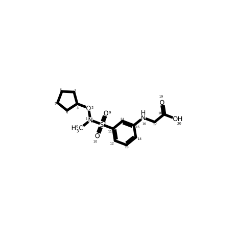 CN(OC1CCCC1)S(=O)(=O)c1cccc(NCC(=O)O)c1